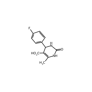 CC1=C(C(=O)O)C(c2ccc(F)cc2)NC(=O)N1